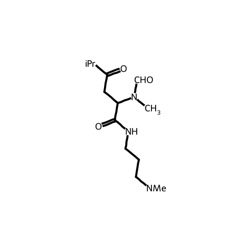 CNCCCNC(=O)C(CC(=O)C(C)C)N(C)C=O